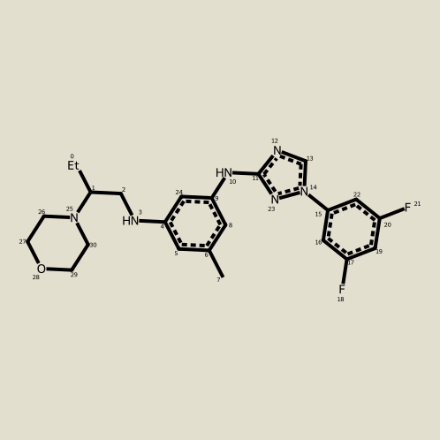 CCC(CNc1cc(C)cc(Nc2ncn(-c3cc(F)cc(F)c3)n2)c1)N1CCOCC1